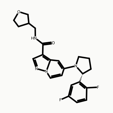 O=C(NCC1CCOC1)c1cnn2ccc(N3CCC[C@@H]3c3cc(F)ccc3F)cc12